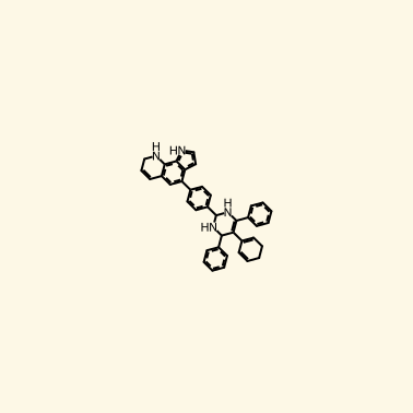 C1=CC(C2=C(c3ccccc3)NC(c3ccc(-c4cc5c(c6[nH]ccc46)NCC=C5)cc3)NC2c2ccccc2)=CCC1